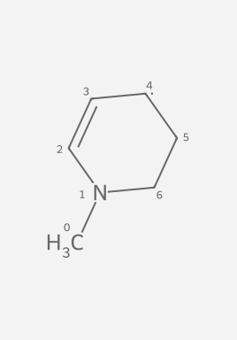 CN1C=C[CH]CC1